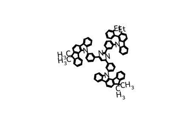 CCc1ccccc1-c1c(CC)ccc2c3ccccc3n(-c3cccc(-c4nc(-c5cccc(-n6c7ccccc7c7ccc8c(c76)-c6ccccc6C8(C)C)c5)cc(-c5cccc(-n6c7ccccc7c7ccc8c(c76)-c6ccccc6C8(C)C)c5)n4)c3)c12